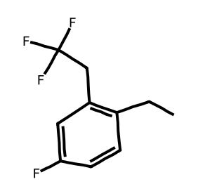 CCc1ccc(F)cc1CC(F)(F)F